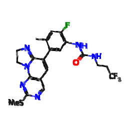 CSc1ncc2c(n1)N1CCN=C1C(c1cc(NC(=O)NCCC(F)(F)F)c(F)cc1C)=C2